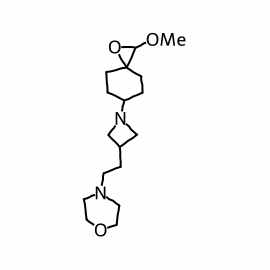 COC1OC12CCC(N1CC(CCN3CCOCC3)C1)CC2